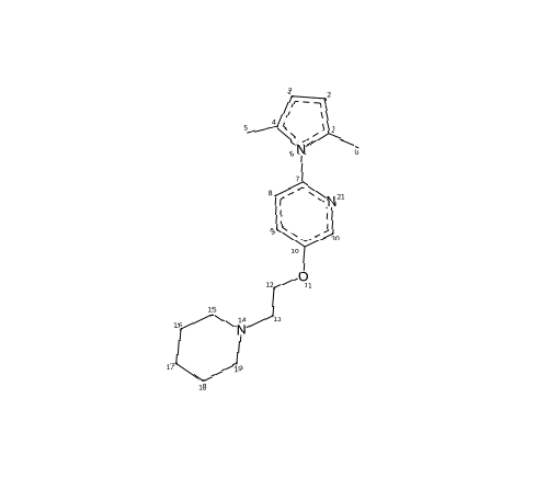 Cc1ccc(C)n1-c1ccc(OCCN2CCCCC2)cn1